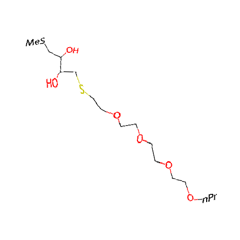 CCCOCCOCCOCCOCCSCC(O)C(O)CSC